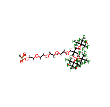 CS(=O)(=O)OCCOCCOCCOCCOCC(COC(C(F)(F)F)(C(F)(F)F)C(F)(F)F)(COC(C(F)(F)F)(C(F)(F)F)C(F)(F)F)COC(C(F)(F)F)(C(F)(F)F)C(F)(F)F